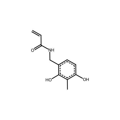 C=CC(=O)NCc1ccc(O)c(C)c1O